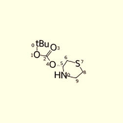 CC(C)(C)OC(=O)O[C@@H]1CSCCN1